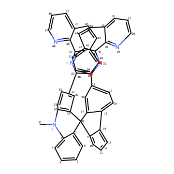 CN1c2ccccc2C2(c3ccccc3-c3ccc(-c4ccc5ccc6cccnc6c5n4)cc32)c2cc(-c3ccc4ccc5cccnc5c4n3)ccc21